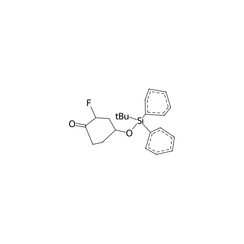 CC(C)(C)[Si](OC1CCC(=O)C(F)C1)(c1ccccc1)c1ccccc1